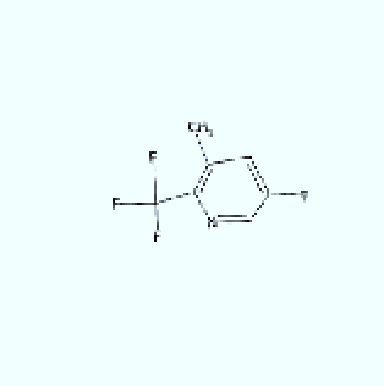 Cc1cc(F)cnc1C(F)(F)F